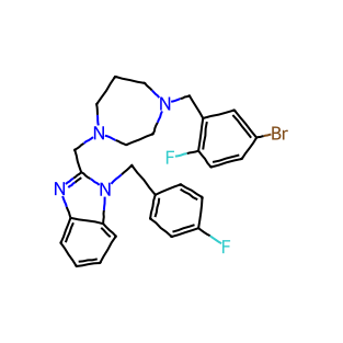 Fc1ccc(Cn2c(CN3CCCN(Cc4cc(Br)ccc4F)CC3)nc3ccccc32)cc1